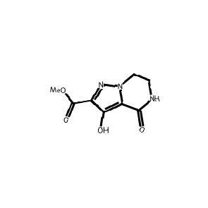 COC(=O)c1nn2c(c1O)C(=O)NCC2